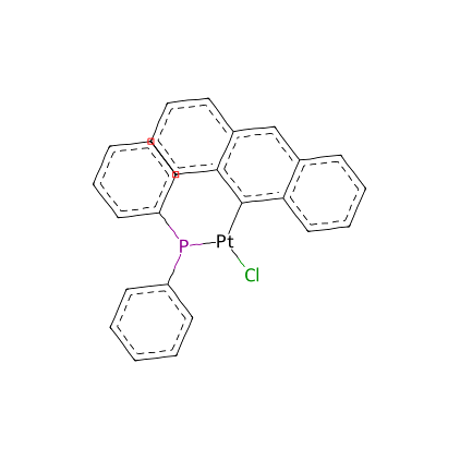 [Cl][Pt]([c]1c2ccccc2cc2ccccc12)[P](c1ccccc1)c1ccccc1